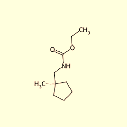 CCOC(=O)NCC1(C)CCCC1